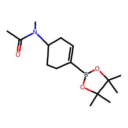 CC(=O)N(C)C1CC=C(B2OC(C)(C)C(C)(C)O2)CC1